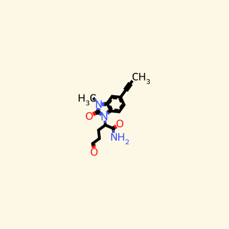 CC#Cc1ccc2c(c1)n(C)c(=O)n2C(CCC=O)C(N)=O